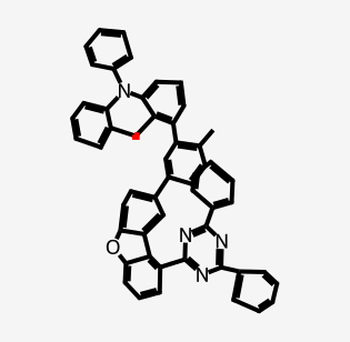 Cc1ccc(-c2ccc3oc4cccc(-c5nc(-c6ccccc6)nc(-c6ccccc6)n5)c4c3c2)cc1-c1cccc(N(c2ccccc2)c2ccccc2C)c1C